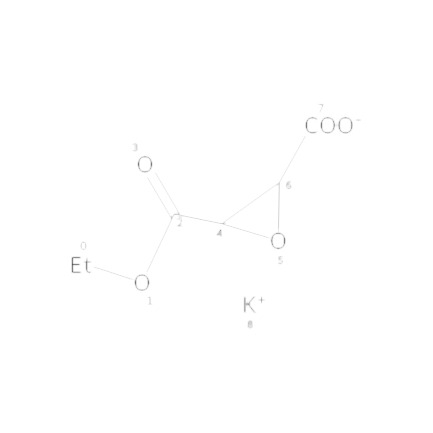 CCOC(=O)C1OC1C(=O)[O-].[K+]